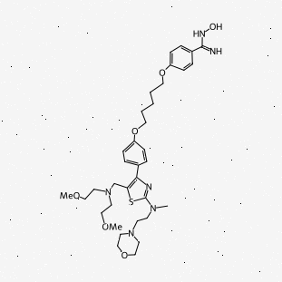 COCCN(CCOC)Cc1sc(N(C)CCN2CCOCC2)nc1-c1ccc(OCCCCCOc2ccc(C(=N)NO)cc2)cc1